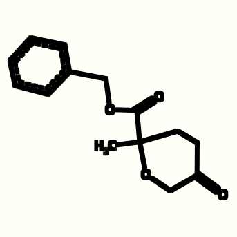 CC1(C(=O)OCc2ccccc2)CCC(=O)CO1